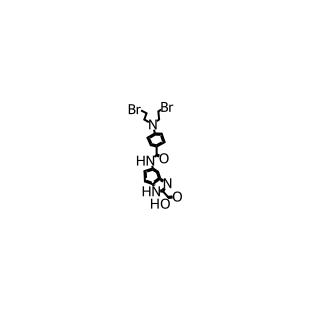 O=C(Nc1ccc2[nH]c(C(=O)O)nc2c1)c1ccc(N(CCBr)CCBr)cc1